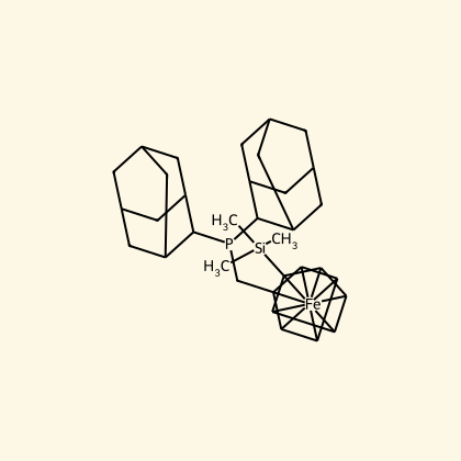 C[Si](C)(C)[C]12[CH]3[CH]4[CH]5[CH]1[Fe]45321678[CH]2[CH]1[CH]6[C]7(CP(C1C3CC4CC(C3)CC1C4)C1C3CC4CC(C3)CC1C4)[CH]28